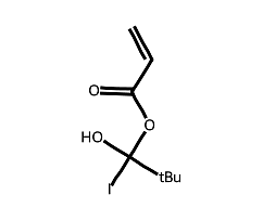 C=CC(=O)OC(O)(I)C(C)(C)C